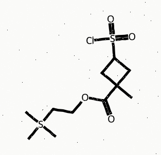 CC1(C(=O)OCCS(C)(C)C)CC(S(=O)(=O)Cl)C1